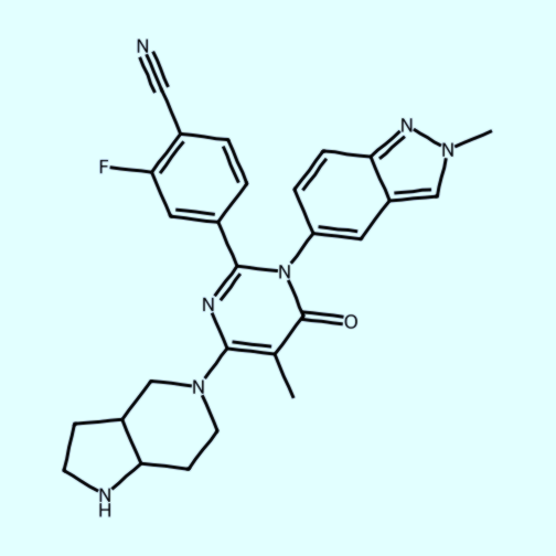 Cc1c(N2CCC3NCCC3C2)nc(-c2ccc(C#N)c(F)c2)n(-c2ccc3nn(C)cc3c2)c1=O